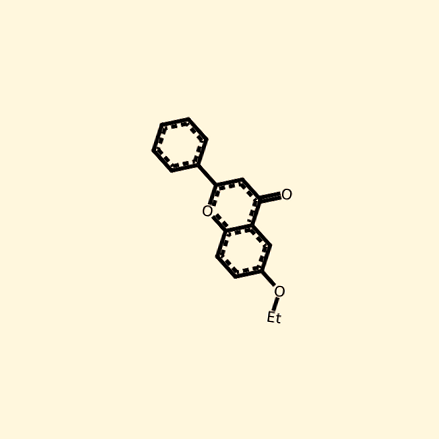 CCOc1ccc2oc(-c3ccccc3)cc(=O)c2c1